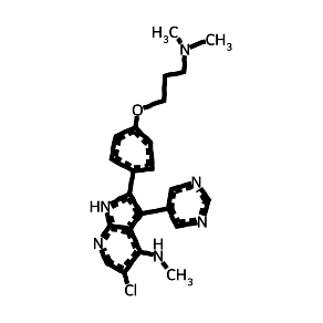 CNc1c(Cl)cnc2[nH]c(-c3ccc(OCCCN(C)C)cc3)c(-c3cncnc3)c12